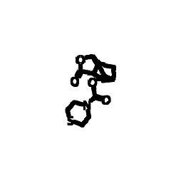 O=C1OC2C3CC(CC13)C2OC(=O)N1CCSCC1